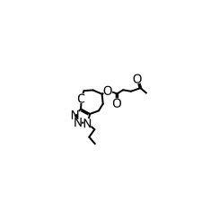 CCCn1nnc2c1CCC(OC(=O)CCC(C)=O)CCC2